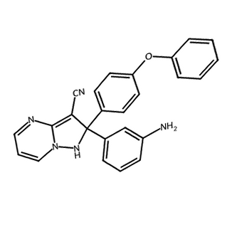 N#CC1=C2N=CC=CN2NC1(c1ccc(Oc2ccccc2)cc1)c1cccc(N)c1